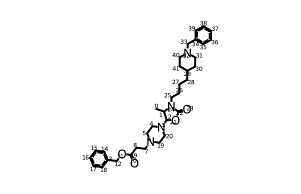 CC1C(N2CCN(CCC(=O)OCc3ccccc3)CC2)OC(=O)N1CCCCC1CCN(Cc2ccccc2)CC1